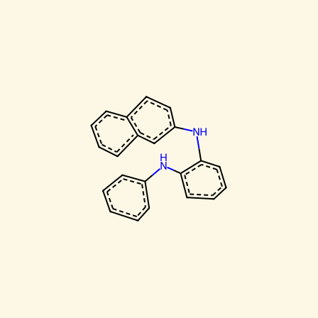 c1ccc(Nc2ccccc2Nc2ccc3ccccc3c2)cc1